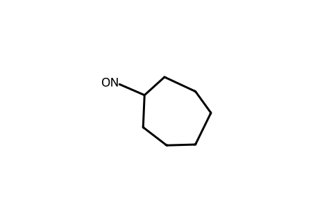 O=NC1CCCCCC1